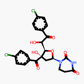 O=C1CCN([C@H]2C[C@@](O)(C(=O)c3ccc(Cl)cc3)[C@@H](C(O)C(=O)c3ccc(Cl)cc3)O2)C(=O)N1